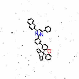 c1ccc(-c2cc(-c3ccc4ccccc4c3)nc(-c3cccc(-c4ccc5c(c4)C4(c6ccccc6O5)c5ccccc5-c5ccccc54)c3)n2)cc1